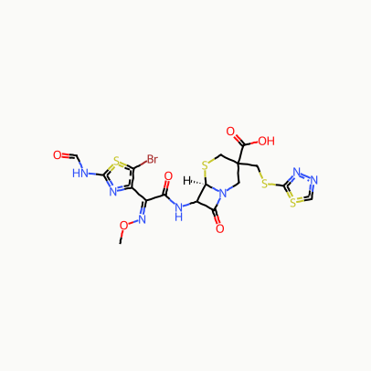 CON=C(C(=O)NC1C(=O)N2CC(CSc3nncs3)(C(=O)O)CS[C@H]12)c1nc(NC=O)sc1Br